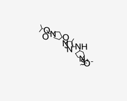 Cc1c(NC2CCN([S+](C)[O-])CC2)ncnc1OC1CCN(C(=O)OC(C)C)CC1